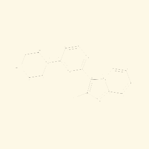 Cc1nc2ccccn2c1-c1nccc(N2CCOCC2)n1